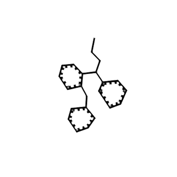 CCCC(c1ccccc1)c1ccccc1Cc1ccccc1